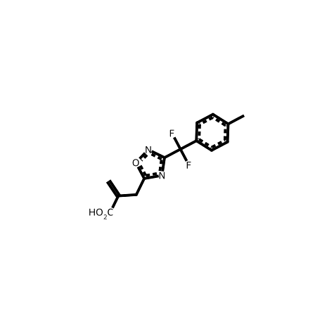 C=C(Cc1nc(C(F)(F)c2ccc(C)cc2)no1)C(=O)O